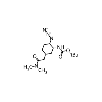 CN(C)C(=O)C[C@H]1CC[C@@H](N=[N+]=[N-])[C@H](NC(=O)OC(C)(C)C)C1